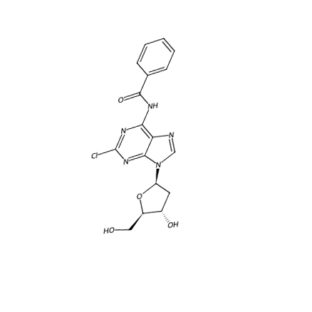 O=C(Nc1nc(Cl)nc2c1ncn2[C@H]1C[C@H](O)[C@@H](CO)O1)c1ccccc1